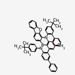 Cc1cc2c3c(c1)N(c1ccc(C(C)(C)C)cc1-c1ccccc1)c1c(ccc4c1oc1ccccc14)B3N(c1ccc(C(C)(C)C)cc1)c1ccc(-c3ccccc3)cc1-2